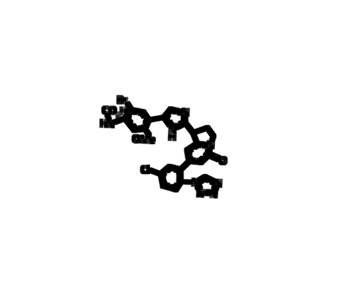 COc1cc(NC(=O)O)c(Br)cc1-c1cnc(C2CCn3c2cc(-c2cc(Cl)ccc2-n2cnnn2)cc3=O)[nH]1